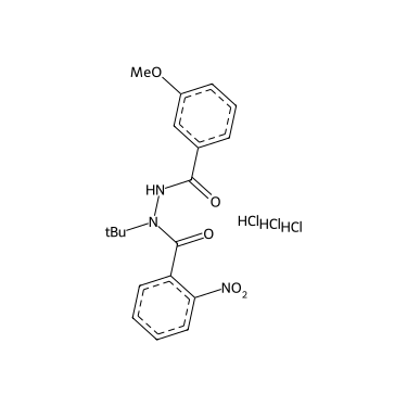 COc1cccc(C(=O)NN(C(=O)c2ccccc2[N+](=O)[O-])C(C)(C)C)c1.Cl.Cl.Cl